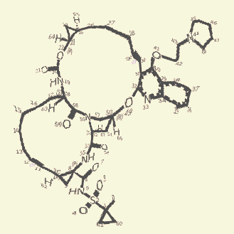 CC1(S(=O)(=O)NC(=O)[C@@]23C[C@H]2/C=C\CCCCC[C@@H]2NC(=O)O[C@@H]4C[C@H]4CCC/C=C/c4c(nc5ccccc5c4OCCN4CCCC4)O[C@@H]4C[C@@H](C(=O)N3)N(C4)C2=O)CC1